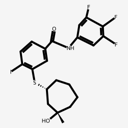 C[C@]1(O)CCCC[C@@H](Sc2cc(C(=O)Nc3cc(F)c(F)c(F)c3)ccc2I)C1